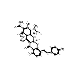 CN(C)[C@H]1C(O)=C(C(N)=O)C(=O)[C@]2(O)C(O)=C3C(=O)c4c(O)ccc(/C=C/c5ccc(Br)cc5)c4C[C@@H]3C[C@H]12